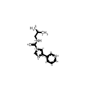 CC(C)CNC(=O)n1cnc(-c2cccnc2)c1